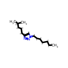 CCCCCCCn1cc(CCCC(C)C)nn1